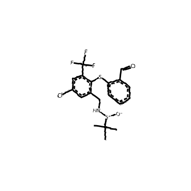 CC(C)(C)[S+]([O-])NCc1cc(Cl)cc(C(F)(F)F)c1Sc1ccccc1C=O